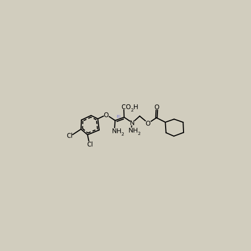 N/C(Oc1ccc(Cl)c(Cl)c1)=C(/C(=O)O)N(N)COC(=O)C1CCCCC1